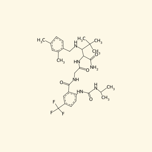 Cc1ccc(CNC(C(NC(=O)CNC(=O)c2cc(C(F)(F)F)ccc2NC(=O)NC(C)C)C(N)=O)C(C)(C)C)c(C)c1